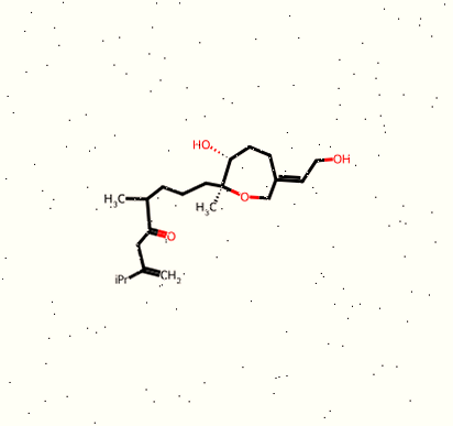 C=C(CC(=O)C(C)CCC[C@]1(C)OC/C(=C/CO)CC[C@H]1O)C(C)C